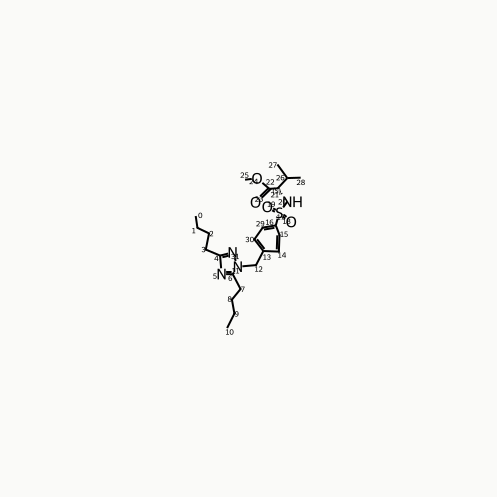 CCCCc1nc(CCCC)n(Cc2ccc(S(=O)(=O)N[C@H](C(=O)OC)C(C)C)cc2)n1